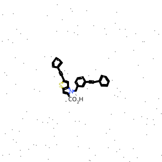 O=C(O)c1cc2sc(C#Cc3ccccc3)cc2n1Cc1cccc(C#Cc2ccccc2)c1